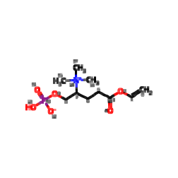 C=COC(=O)CCC(COP(=O)([O-])O)[N+](C)(C)C